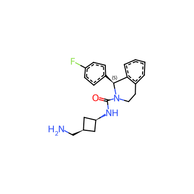 NC[C@H]1C[C@@H](NC(=O)N2CCc3ccccc3[C@@H]2c2ccc(F)cc2)C1